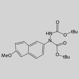 COc1ccc2cc(N(NC(=O)OC(C)(C)C)C(=O)OC(C)(C)C)ccc2c1